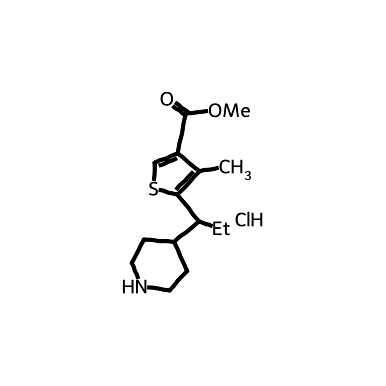 CCC(c1scc(C(=O)OC)c1C)C1CCNCC1.Cl